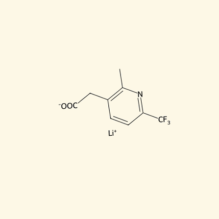 Cc1nc(C(F)(F)F)ccc1CC(=O)[O-].[Li+]